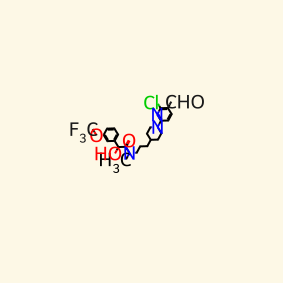 CN(CCCC1CCN(c2ccc(C=O)c(Cl)n2)CC1)C(=O)C(O)c1cccc(OC(F)(F)F)c1